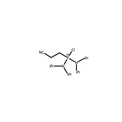 CC(C)N(C(C)C)[PH](Cl)(CCC#N)N(C(C)C)C(C)C